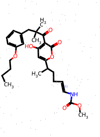 CCCCOc1cccc(CC(C)(C)C(=O)c2c(O)cc(C(C)CC/C=C/NC(=O)OC)oc2=O)c1